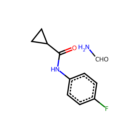 NC=O.O=C(Nc1ccc(F)cc1)C1CC1